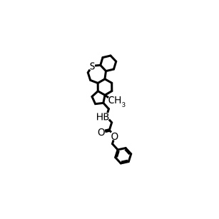 CC12CCC3C4CCCCC4SCCC3C1CCC2CBCC(=O)OCc1ccccc1